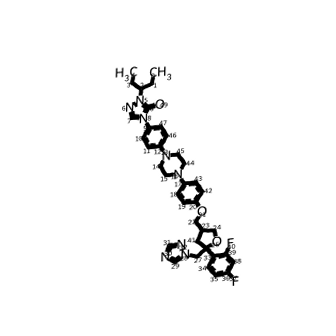 CCC(CC)n1ncn(-c2ccc(N3CCN(c4ccc(OCC5COC(Cn6cncn6)(c6ccc(F)cc6F)C5)cc4)CC3)cc2)c1=O